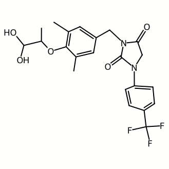 Cc1cc(CN2C(=O)CN(c3ccc(C(F)(F)F)cc3)C2=O)cc(C)c1OC(C)C(O)O